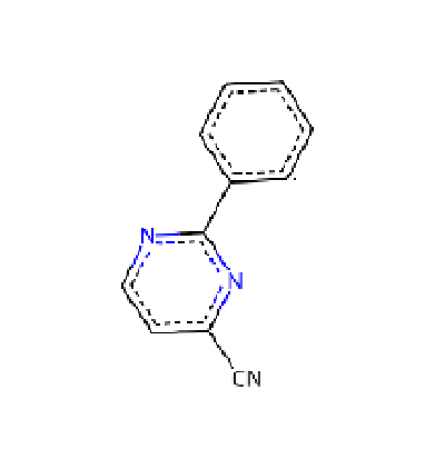 N#Cc1ccnc(-c2[c]cccc2)n1